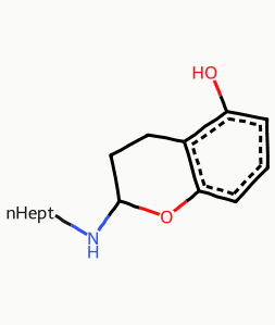 CCCCCCCNC1CCc2c(O)cccc2O1